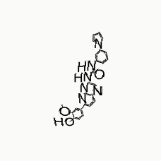 COc1cc(-c2ccc3ncc(NC(=O)Nc4cccc(-n5cccc5)c4)nc3n2)ccc1O